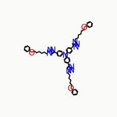 c1ccc(OCCCCCCn2cc(-c3ccc(N(c4ccc(-c5cn(CCCCCCOc6ccccc6)nn5)cc4)c4ccc(-c5cn(CCCCCCOc6ccccc6)nn5)cc4)cc3)nn2)cc1